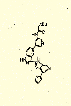 CC(C)(C)CC(=O)Nc1cncc(-c2ccc3[nH]nc(-c4nc5c(-c6cccs6)cncc5[nH]4)c3c2)c1